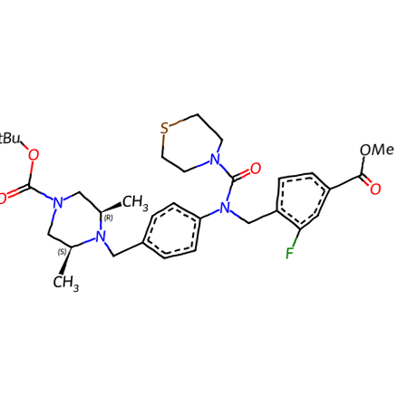 COC(=O)c1ccc(CN(C(=O)N2CCSCC2)c2ccc(CN3[C@H](C)CN(C(=O)OC(C)(C)C)C[C@@H]3C)cc2)c(F)c1